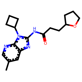 Cc1cnc2c(c1)nc(NC(=O)CCC1CCCO1)n2C1CCC1